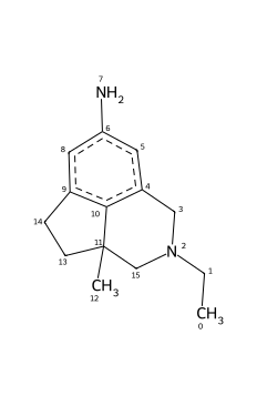 CCN1Cc2cc(N)cc3c2C(C)(CC3)C1